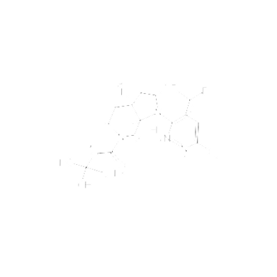 CC(C)(C)OC(=O)N1CC[C@H]2CCN(c3nnc(Cl)cc3C(F)F)[C@H]2C1